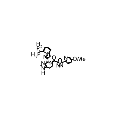 COc1ccc(-c2nnc(C(=O)N3CCc4[nH]cnc4[C@H]3c3cc4cccc(C(P)P)n4n3)o2)nc1